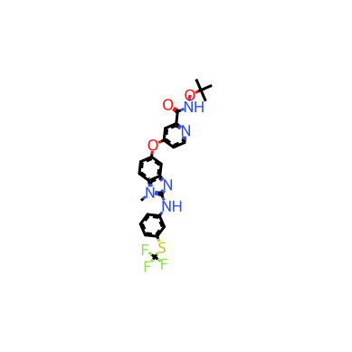 Cn1c(Nc2cccc(SC(F)(F)F)c2)nc2cc(Oc3ccnc(C(=O)NOC(C)(C)C)c3)ccc21